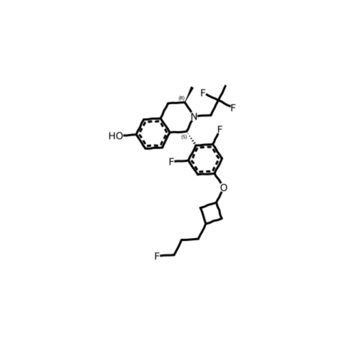 C[C@@H]1Cc2cc(O)ccc2[C@@H](c2c(F)cc(OC3CC(CCCF)C3)cc2F)N1CC(C)(F)F